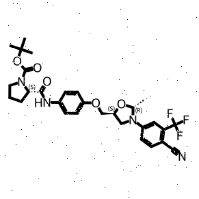 C[C@H]1O[C@H](COc2ccc(NC(=O)[C@@H]3CCCN3C(=O)OC(C)(C)C)cc2)CN1c1ccc(C#N)c(C(F)(F)F)c1